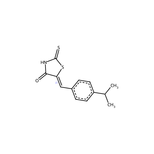 CC(C)c1ccc(/C=C2\SC(=S)NC2=O)cc1